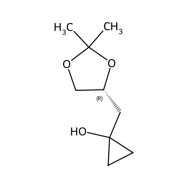 CC1(C)OC[C@@H](CC2(O)CC2)O1